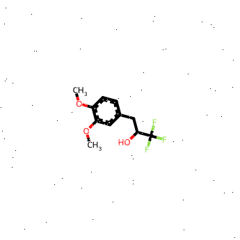 COc1ccc(CC(O)C(F)(F)F)cc1OC